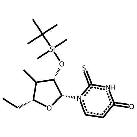 CC[C@H]1O[C@@H](n2ccc(=O)[nH]c2=S)[C@@H](O[Si](C)(C)C(C)(C)C)C1C